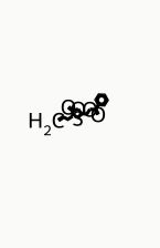 C=CCC1SC(COC(=O)c2ccccc2)OC1=O